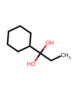 CCC(O)(O)C1CCCCC1